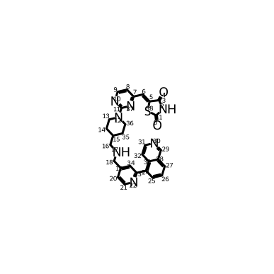 O=C1NC(=O)C(=Cc2ccnc(N3CCC(CNCc4ccnc(-c5cccc6cnccc56)c4)CC3)n2)S1